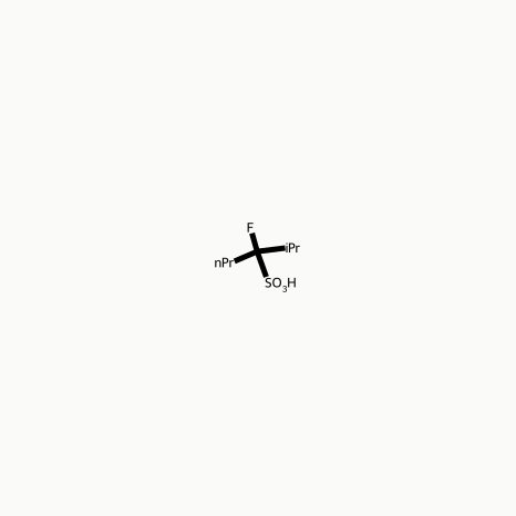 CCCC(F)(C(C)C)S(=O)(=O)O